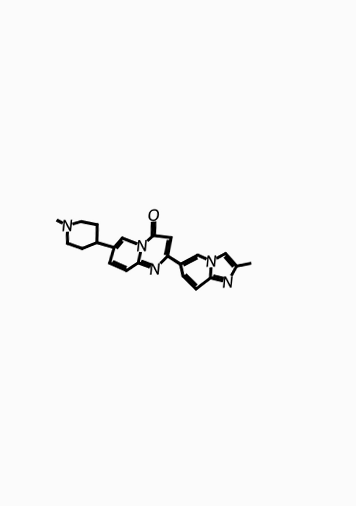 Cc1cn2cc(-c3cc(=O)n4cc(C5CCN(C)CC5)ccc4n3)ccc2n1